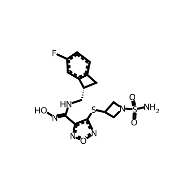 NS(=O)(=O)N1CC(Sc2nonc2/C(=N/O)NC[C@H]2Cc3ccc(F)cc32)C1